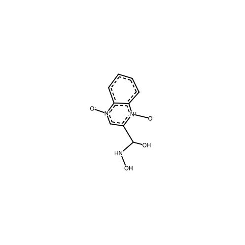 [O-][n+]1cc(C(O)NO)[n+]([O-])c2ccccc21